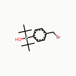 CC(C)(C)[Si](O)(c1ccc(CBr)cc1)C(C)(C)C